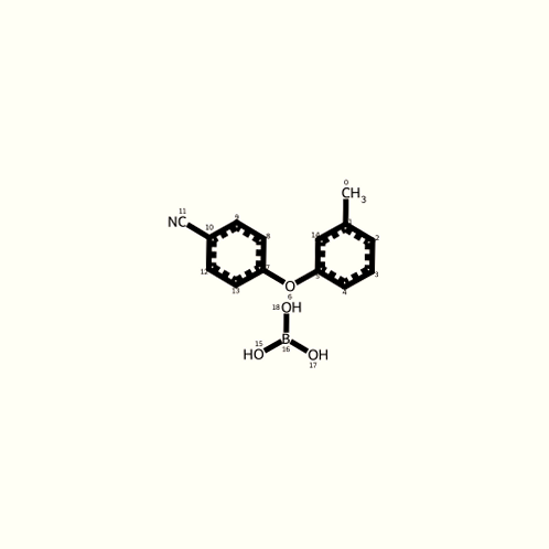 Cc1cccc(Oc2ccc(C#N)cc2)c1.OB(O)O